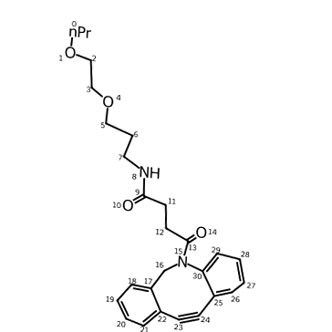 CCCOCCOCCCNC(=O)CCC(=O)N1Cc2ccccc2C#Cc2ccccc21